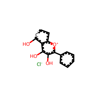 Oc1c(-c2ccccc2)[o+]c2cccc(O)c2c1O.[Cl-]